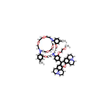 COCCOc1cc(C2=c3cc4c5c(c3Oc3c2cc2c6c3CCCN6CCC2)CCC[N+]=5CCC4)ccc1N1CCOc2cc(C)ccc2N2CCOCCOCCN(CCOCCOCC2)c2ccc(C)cc2OCC1